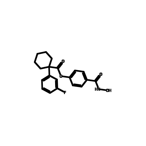 O=C(NO)c1ccc(OC(=O)C2(c3cccc(F)c3)CCCCC2)cc1